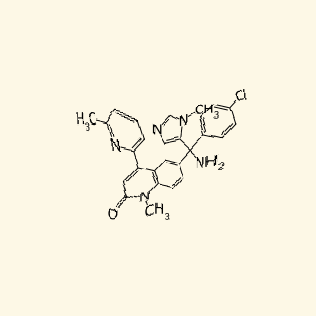 Cc1cccc(-c2cc(=O)n(C)c3ccc(C(N)(c4ccc(Cl)cc4)c4cncn4C)cc23)n1